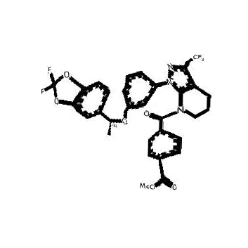 COC(=O)c1ccc(C(=O)N2CCCc3c(C(F)(F)F)nn(-c4cccc(O[C@@H](C)c5ccc6c(c5)OC(F)(F)O6)c4)c32)cc1